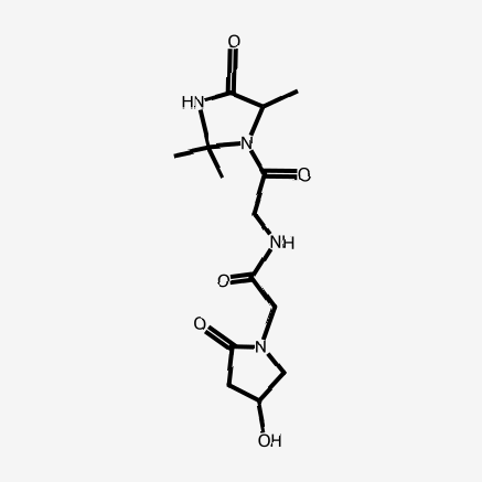 CC1C(=O)NC(C)(C)N1C(=O)CNC(=O)CN1CC(O)CC1=O